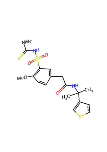 CNC(=S)NS(=O)(=O)c1cc(CC(=O)NC(C)(C)c2ccsc2)ccc1OC